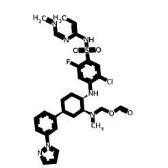 C=N/C=N\C(=C/C)NS(=O)(=O)c1cc(Cl)c(N[C@H]2CC[C@H](c3cccc(-n4cccn4)c3)C[C@@H]2N(C)COC=O)cc1F